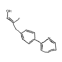 O/C=C(\F)Cc1ccc(-c2ccccn2)cc1